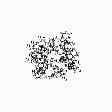 CCC1=C[C@@H]2C[N@](C1)Cc1c([nH]c3ccccc13)[C@@](C(=O)OC)(c1cc3c(cc1OC)N(C)[C@H]1[C@@](O)(C(=O)OC)[C@H](OC(C)=O)[C@]4(CC)C=CCN5CC[C@]31[C@@H]54)C2.CC[C@]1(O)C[C@@H]2C[N@@](CCc3c([nH]c4ccccc34)[C@@](C(=O)OC)(c3cc4c(cc3OC)N(C)[C@H]3[C@@](O)(C(=O)OC)[C@H](OC(C)=O)[C@]5(CC)C=CCN6CC[C@]43[C@@H]65)C2)C1